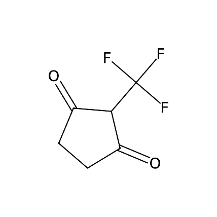 O=C1CCC(=O)C1C(F)(F)F